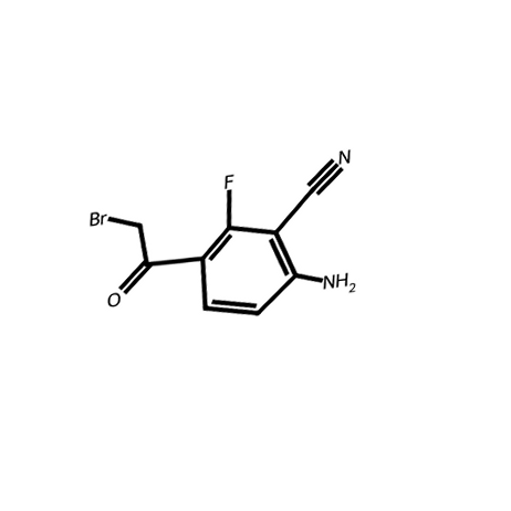 N#Cc1c(N)ccc(C(=O)CBr)c1F